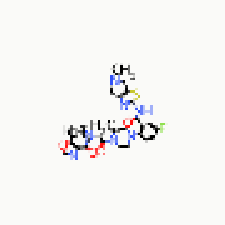 Cc1ocnc1C(=O)N(C)CC(=O)N1CCN(c2ccc(F)cc2C(=O)Nc2nc3c(s2)CN(C)CC3)C[C@@H]1C